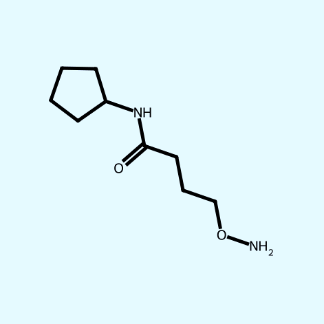 NOCCCC(=O)NC1CCCC1